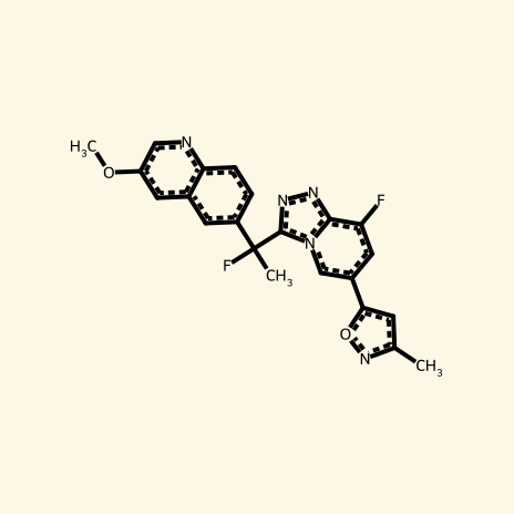 COc1cnc2ccc(C(C)(F)c3nnc4c(F)cc(-c5cc(C)no5)cn34)cc2c1